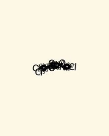 O=C(Nc1ccc(Cl)cc1)C1CCN(S(=O)(=O)/C=C/c2ccc(Cl)c(Cl)c2)CC1